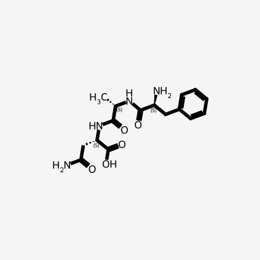 C[C@H](NC(=O)[C@@H](N)Cc1ccccc1)C(=O)N[C@@H](CC(N)=O)C(=O)O